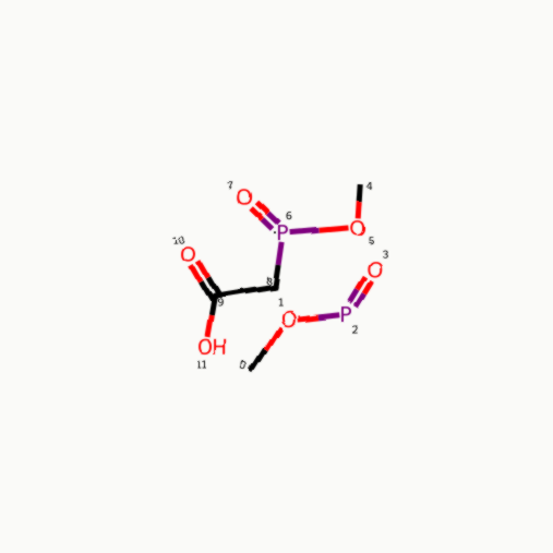 COP=O.CO[P](=O)CC(=O)O